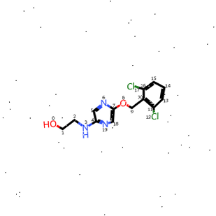 OCCNc1cnc(OCc2c(Cl)cccc2Cl)cn1